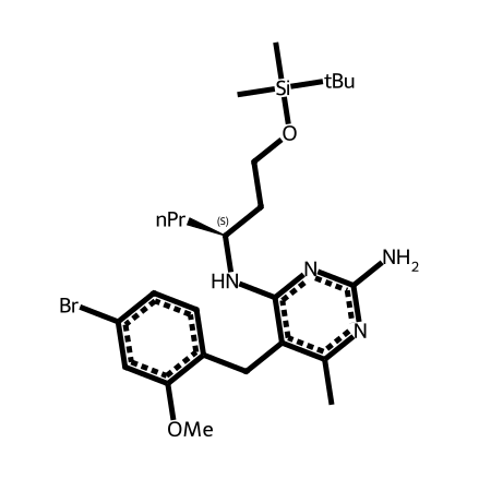 CCC[C@@H](CCO[Si](C)(C)C(C)(C)C)Nc1nc(N)nc(C)c1Cc1ccc(Br)cc1OC